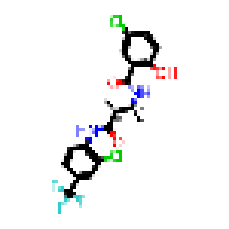 C[C@H](NC(=O)c1cc(Cl)ccc1O)[C@H](C)C(=O)Nc1ccc(C(F)(F)F)cc1Cl